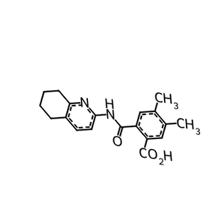 Cc1cc(C(=O)O)c(C(=O)Nc2ccc3c(n2)CCCC3)cc1C